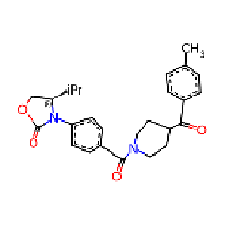 Cc1ccc(C(=O)C2CCN(C(=O)c3ccc(N4C(=O)OC[C@H]4C(C)C)cc3)CC2)cc1